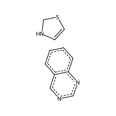 C1=CSCN1.c1ccc2ncncc2c1